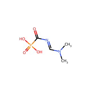 CN(C)/C=N/C(=O)P(=O)(O)O